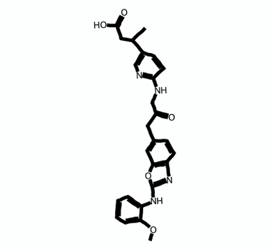 COc1ccccc1Nc1nc2ccc(CC(=O)CNc3ccc(C(C)CC(=O)O)cn3)cc2o1